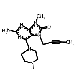 CC#CCn1c(=O)n(C)c2nc(N)nc(N3CCNCC3)c21